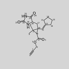 C#CCOC(=O)C1C(C)(C)C1(C=C1CCCC1)CC1NC(=O)NC1=O